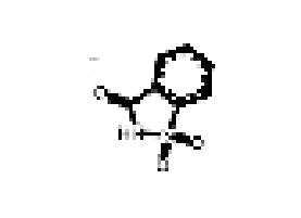 O=C1NS(=O)(=O)c2ccccc21.[Ti]